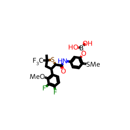 COc1c(C2CC(C)(C(F)(F)F)SC2C(=O)Nc2ccc(SC)c(OB(O)O)c2)ccc(F)c1F